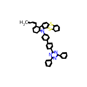 C=C/C=C\C1=CCCc2c1c1ccc3c(c1n2-c1ccc(-c2ccc(-c4nc(-c5ccccc5)nc(-c5ccccc5)n4)cc2)cc1)SC1CC=CC=C1S3